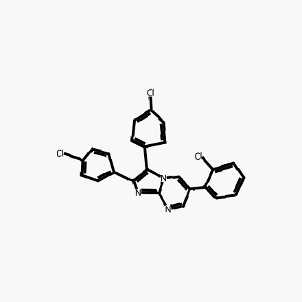 Clc1ccc(-c2nc3ncc(-c4ccccc4Cl)cn3c2-c2ccc(Cl)cc2)cc1